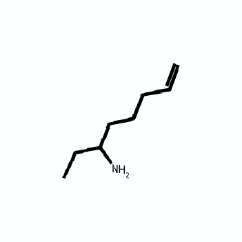 C=CCCCC(N)CC